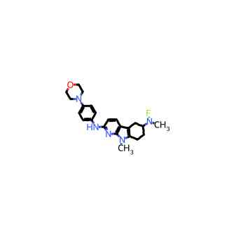 CN(F)C1CCc2c(c3ccc(Nc4ccc(N5CCOCC5)cc4)nc3n2C)C1